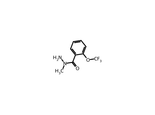 CN(N)C(=O)c1ccccc1OC(F)(F)F